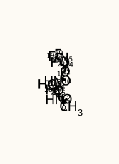 CC(=O)NC12CCC(NC(=O)COc3ccnc(C(F)(F)F)c3)(CC1)[C@@H](O)C2